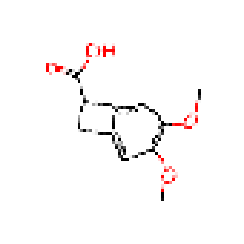 COc1cc2c(cc1OC)C(C(=O)O)C2